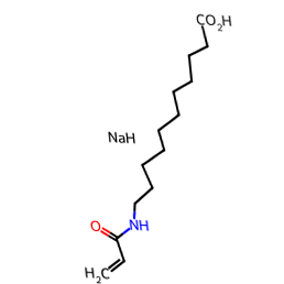 C=CC(=O)NCCCCCCCCCCC(=O)O.[NaH]